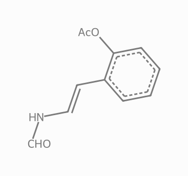 CC(=O)Oc1ccccc1C=CNC=O